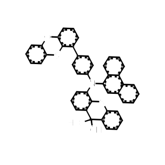 CC1(C)c2ccccc2Sc2c(N(c3ccc(-c4cccc5c4Sc4ccccc4O5)cc3)c3cc4ccccc4c4ccccc34)cccc21